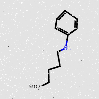 CCOC(=O)CCCCNc1ccccc1